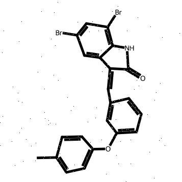 Cc1ccc(Oc2cccc(C=C3C(=O)Nc4c(Br)cc(Br)cc43)c2)cc1